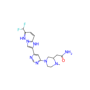 CN1CCN(c2cc(-c3cnc(/C=C\C(=N)C(F)F)[nH]3)ncn2)CC1CC(N)=O